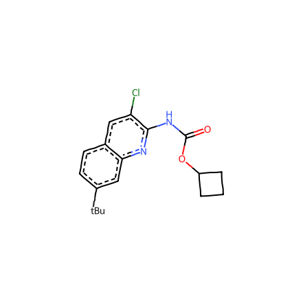 CC(C)(C)c1ccc2cc(Cl)c(NC(=O)OC3CCC3)nc2c1